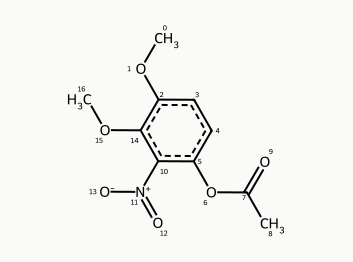 COc1ccc(OC(C)=O)c([N+](=O)[O-])c1OC